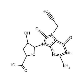 C#CCn1c(=O)n(C2OC(C(=O)O)CC2O)c2nc(N)[nH]c(=O)c21